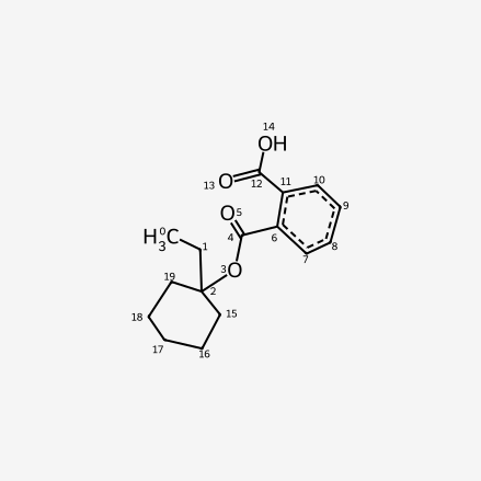 CCC1(OC(=O)c2ccccc2C(=O)O)CCCCC1